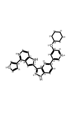 c1cc2[nH]c(-c3n[nH]c4ccc(-c5cncc(OC6CCCCC6)c5)nc34)cc2c(-c2ccoc2)n1